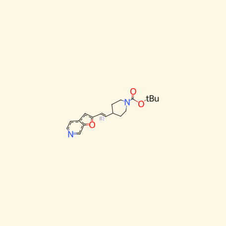 CC(C)(C)OC(=O)N1CCC(/C=C/c2cc3ccncc3o2)CC1